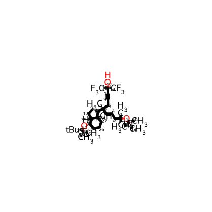 CC(C)(CCC[C@](C)(CC#CC(O)(C(F)(F)F)C(F)(F)F)[C@H]1CC[C@H]2[C@@H](O[Si](C)(C)C(C)(C)C)CCC[C@]12C)O[Si](C)(C)C